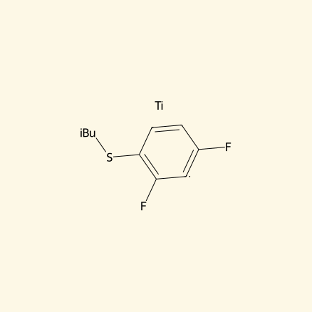 CCC(C)Sc1ccc(F)[c]c1F.[Ti]